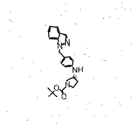 CC(C)(C)OC(=O)N1CC[C@@H](Nc2ccc(Cn3ncc4ccccc43)cc2)C1